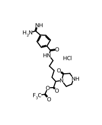 Cl.N=C(N)c1ccc(C(=O)NCCCCC(C(=O)OC(=O)C(F)(F)F)N2CCNCC2=O)cc1